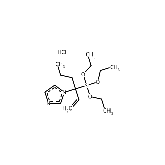 C=CC(CCC)(n1ccnc1)[Si](OCC)(OCC)OCC.Cl